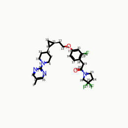 Cc1cnc(N2CCC([C@H]3C[C@H]3CCOc3ccc(CC(=O)N4CCC(F)(F)C4)c(F)c3)CC2)nc1